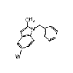 Cc1cc2cc(Br)ccc2n1Cc1ccccc1